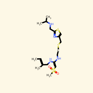 CC=C(C)CNC(=CS(C)(=O)=O)NCCSCc1csc(CNC(C)C)n1